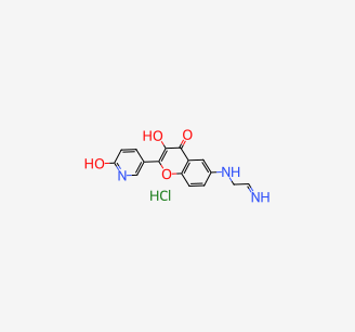 Cl.N=CCNc1ccc2oc(-c3ccc(O)nc3)c(O)c(=O)c2c1